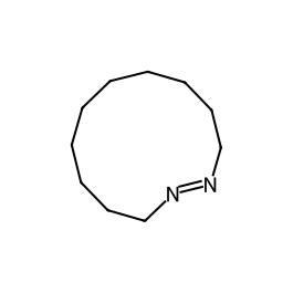 C1CCCCC/N=N/CCCC1